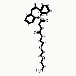 CC1=Cc2ccccc2N(C(=O)CCC(=O)NCCOCCOCCN)c2ccccc21